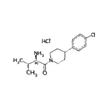 CC(C)[C@@H](N)C(=O)N1CCC(c2ccc(Cl)cc2)CC1.Cl